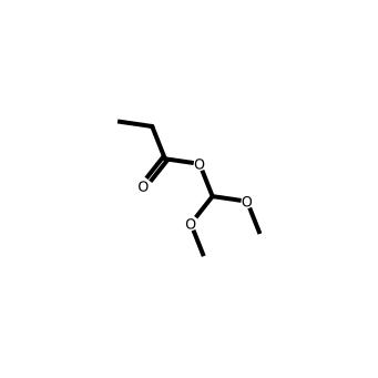 CCC(=O)OC(OC)OC